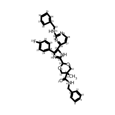 CC1(C(=O)NCc2ccccc2)COC(c2nc(-c3ccc(F)cc3)c(-c3ccnc(NCc4ccccc4)n3)[nH]2)OC1